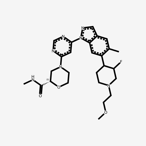 CNC(=O)[C@@H]1CN(c2cc(-n3ncc4cc(C)c(C5CCN(CCOC)CC5F)cc43)ncn2)CCO1